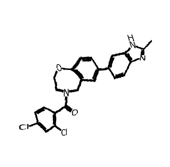 Cc1nc2ccc(-c3ccc4c(c3)CN(C(=O)c3ccc(Cl)cc3Cl)CCO4)cc2[nH]1